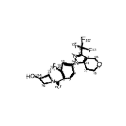 O=C(c1ccc(-n2nc(C(F)(F)F)c3c2CCOC3)cc1F)N1CC(O)C1